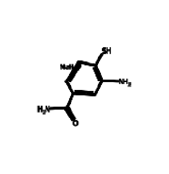 NC(=O)c1ccc(S)c(N)c1.[NaH]